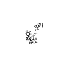 O=C(CCCC=CC[C@H]1[C@@H]2CC[C@@H](C2)[C@@H]1NS(=O)(=O)c1ccccc1)NO